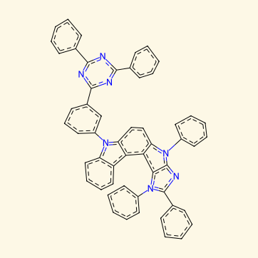 c1ccc(-c2nc(-c3ccccc3)nc(-c3cccc(-n4c5ccccc5c5c6c7c(nc(-c8ccccc8)n7-c7ccccc7)n(-c7ccccc7)c6ccc54)c3)n2)cc1